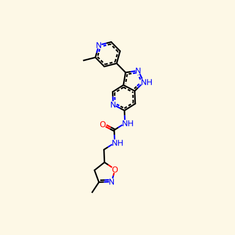 CC1=NOC(CNC(=O)Nc2cc3[nH]nc(-c4ccnc(C)c4)c3cn2)C1